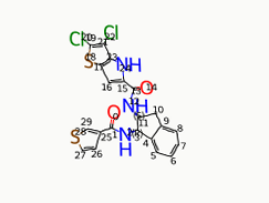 O=C(N[C@@H]1c2ccccc2C[C@@H]1NC(=O)c1cc2sc(Cl)c(Cl)c2[nH]1)c1ccsc1